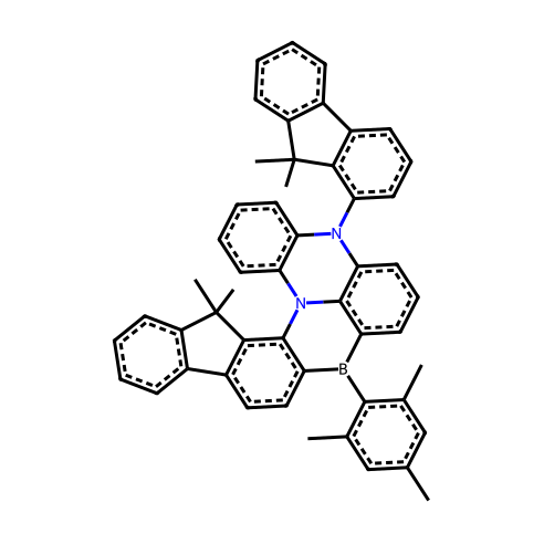 Cc1cc(C)c(B2c3cccc4c3N(c3ccccc3N4c3cccc4c3C(C)(C)c3ccccc3-4)c3c2ccc2c3C(C)(C)c3ccccc3-2)c(C)c1